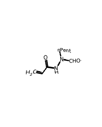 C=CC(=O)NN([C]=O)CCCCC